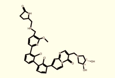 COc1nc(-c2cccc(-c3cccc(-c4ccn5c(=O)c(CN6C[C@H](O)[C@@H](O)C6)cnc5c4)c3Cl)c2Cl)ccc1CNCC1CCC(=O)N1